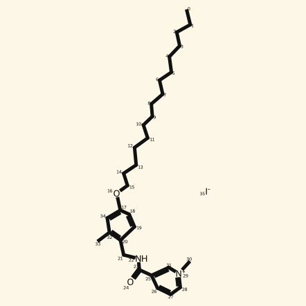 CCCCCCCCCCCCCCCCOc1ccc(CNC(=O)c2ccc[n+](C)c2)c(C)c1.[I-]